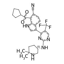 CC1(C)CC[C@H](Nc2ncc(C(F)(F)F)c(-c3c[nH]c4c(S(=O)(=O)C5CCCC5)c(C#N)ccc34)n2)CN1